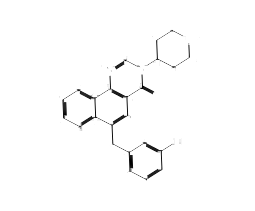 Bc1cccc(Cc2cc3c(=O)n(C4CCOCC4)cnc3c3ccccc23)c1